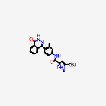 Cc1cc(NC(=O)c2cc(C(C)(C)C)n(C)n2)ccc1-c1n[nH]c(=O)c2ccccc12